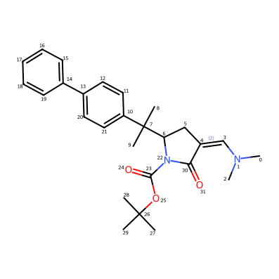 CN(C)/C=C1/CC(C(C)(C)c2ccc(-c3ccccc3)cc2)N(C(=O)OC(C)(C)C)C1=O